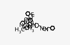 Cc1ccnc(C(C)C)c1-n1c(=O)nc(N2CCC(CN=C=NCc3ccccc3)CC2)c2cc(F)c(-c3ccccc3F)nc21